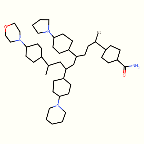 CCC(CCC(CC(CC(C)C1CCC(N2CCOCC2)CC1)C1CCC(N2CCCCC2)CC1)C1CCC(N2CCCC2)CC1)C1CCC(C(N)=O)CC1